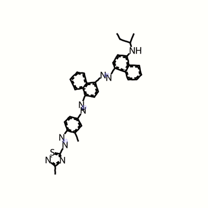 CCC(C)Nc1ccc(/N=N/c2ccc(/N=N/c3ccc(/N=N/c4nc(C)ns4)c(C)c3)c3ccccc23)c2ccccc12